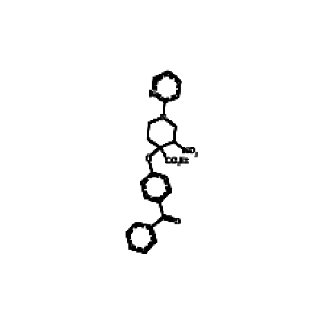 CCOC(=O)C1(Oc2ccc(C(=O)c3ccccc3)cc2)CCN(c2ccccn2)CC1[N+](=O)[O-]